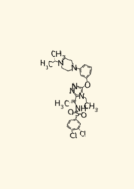 CCn1c(Oc2cccc(N3CCN(C(C)C)CC3)c2)nnc1[C@@H](C)NS(=O)(=O)c1ccc(Cl)c(Cl)c1